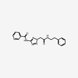 O=C(Cn1nnc(NC(=O)c2cccnc2)n1)NCCc1ccccc1